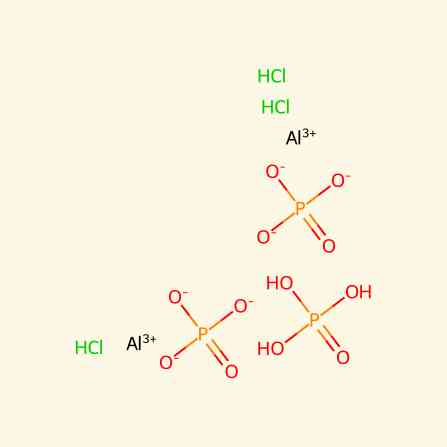 Cl.Cl.Cl.O=P(O)(O)O.O=P([O-])([O-])[O-].O=P([O-])([O-])[O-].[Al+3].[Al+3]